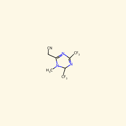 CN1C(CC#N)=NC(C(F)(F)F)=NC1C(F)(F)F